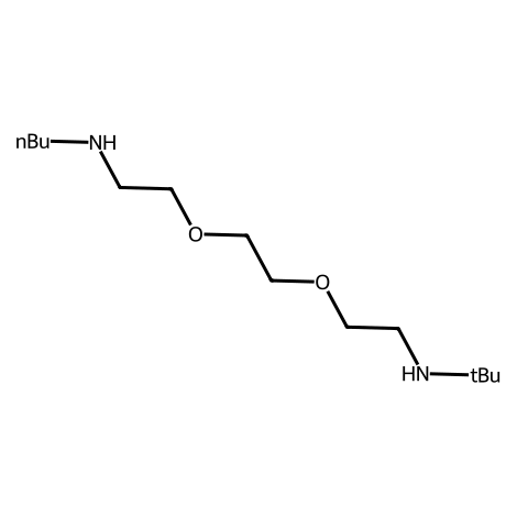 CCCCNCCOCCOCCNC(C)(C)C